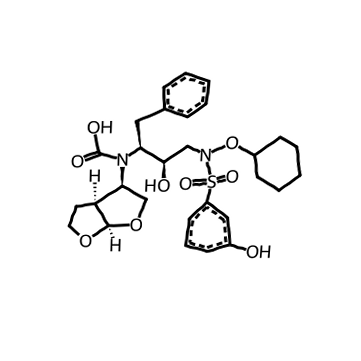 O=C(O)N([C@H]1CO[C@H]2OCC[C@H]21)[C@@H](Cc1ccccc1)[C@H](O)CN(OC1CCCCC1)S(=O)(=O)c1cccc(O)c1